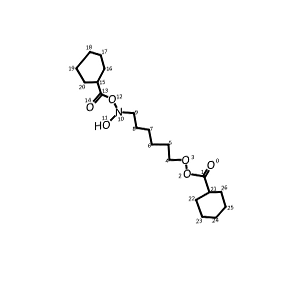 O=C(OOCCCCCCN(O)OC(=O)C1CCCCC1)C1CCCCC1